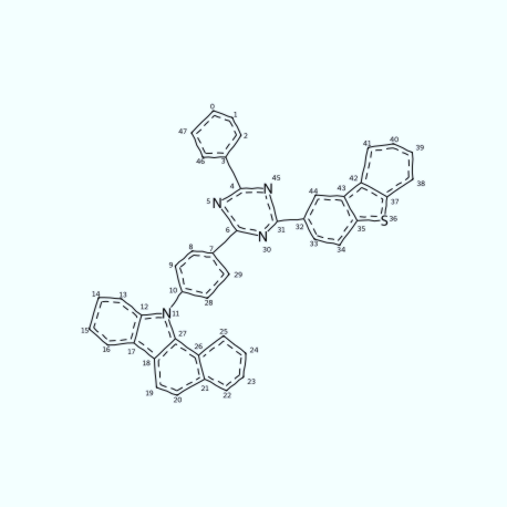 c1ccc(-c2nc(-c3ccc(-n4c5ccccc5c5ccc6ccccc6c54)cc3)nc(-c3ccc4sc5ccccc5c4c3)n2)cc1